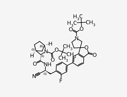 CC(C)(C)OC(=O)N1CCC2(C1)OC(=O)c1ccc(-c3ccc(C[C@@H](C#N)NC(=O)[C@@H]4[C@H]5CC[C@H](C5)N4C(=O)OC(C)(C)C)c(F)c3)cc12